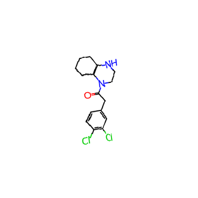 O=C(Cc1ccc(Cl)c(Cl)c1)N1CCNC2CCCCC21